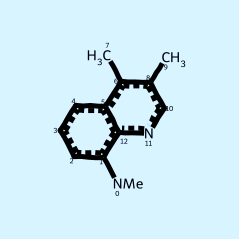 CNc1cccc2c(C)c(C)cnc12